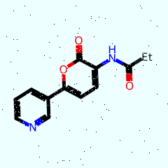 CCC(=O)Nc1ccc(-c2cccnc2)oc1=O